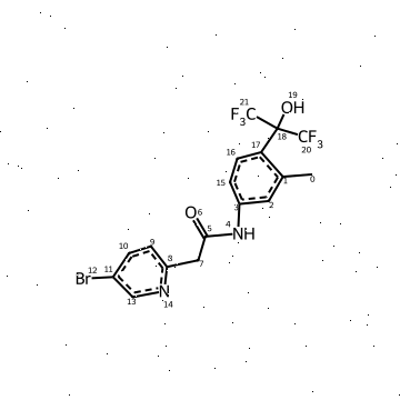 Cc1cc(NC(=O)Cc2ccc(Br)cn2)ccc1C(O)(C(F)(F)F)C(F)(F)F